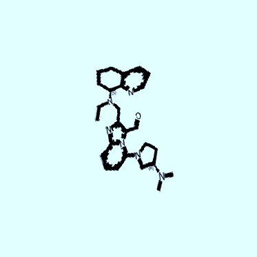 CCN(Cc1nc2cccc(N3CC[C@@H](N(C)C)C3)n2c1C=O)[C@H]1CCCc2cccnc21